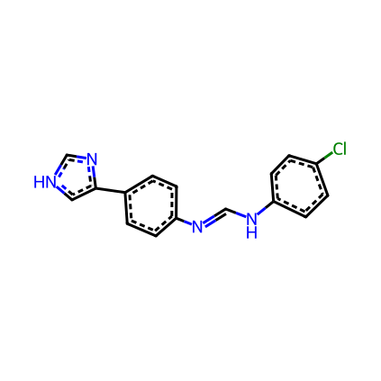 Clc1ccc(NC=Nc2ccc(-c3c[nH]cn3)cc2)cc1